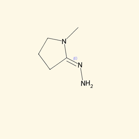 CN1CCC/C1=N\N